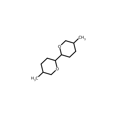 CC1CCC(C2CCC(C)CO2)OC1